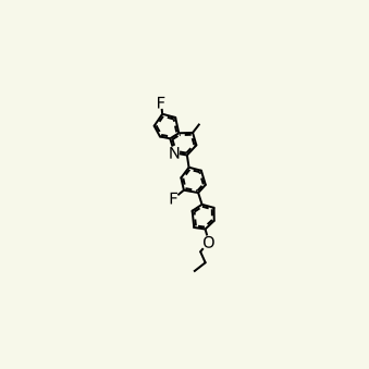 CCCOc1ccc(-c2ccc(-c3cc(C)c4cc(F)ccc4n3)cc2F)cc1